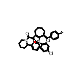 O=C(c1nn(-c2ccc(Cl)cc2Cl)c2c1CCCCC2=Cc1ccc(F)cc1)N1CCCCC1c1ccccn1